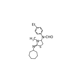 CCc1ccc(N(C=O)C2CSC(=NC3CCCCCC3)N2C)cc1